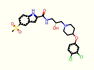 CS(=O)(=O)c1ccc2[nH]c(C(=O)NC[C@@H](O)CN3CCC(Oc4ccc(Cl)c(Cl)c4)CC3)cc2c1